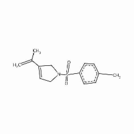 C=C(C)C1=CCN(S(=O)(=O)c2ccc(C)cc2)C1